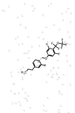 CCCC1=CC[C@H](COc2cc(F)c(C(F)(F)OC(F)(F)F)c(F)c2)C(F)=C1